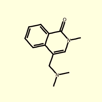 CN(C)Cc1cn(C)c(=O)c2ccccc12